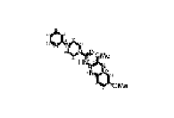 COc1ccc2nc(NC(=O)N3CCN(c4ccccn4)CC3)c(OC)nc2c1